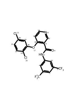 O=C(Nc1cc(C(F)(F)F)cc(C(F)(F)F)c1)c1cnccc1Oc1cc(Cl)ccc1Cl